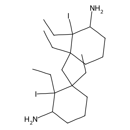 CCC1(CC2(CC)CCCC(N)C2(I)CC)CCCC(N)C1(I)CC